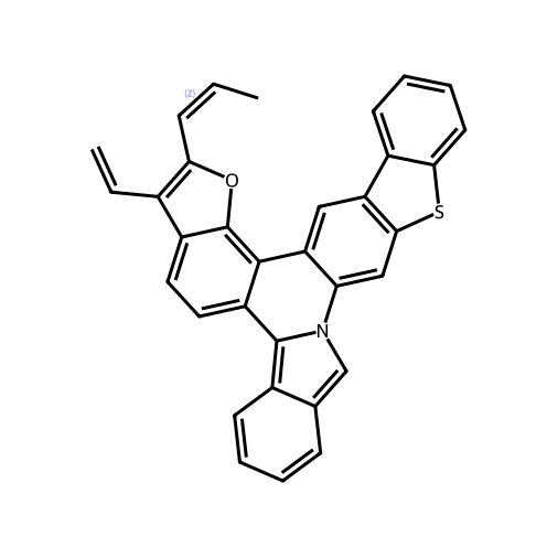 C=Cc1c(/C=C\C)oc2c1ccc1c2c2cc3c(cc2n2cc4ccccc4c12)sc1ccccc13